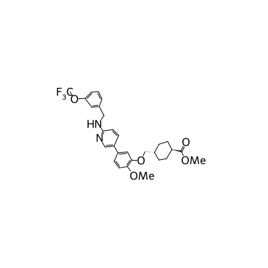 COc1ccc(-c2ccc(NCc3cccc(OC(F)(F)F)c3)nc2)cc1OC[C@H]1CC[C@H](C(=O)OC)CC1